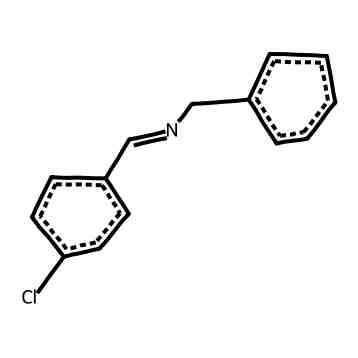 Clc1ccc(/C=N/Cc2ccccc2)cc1